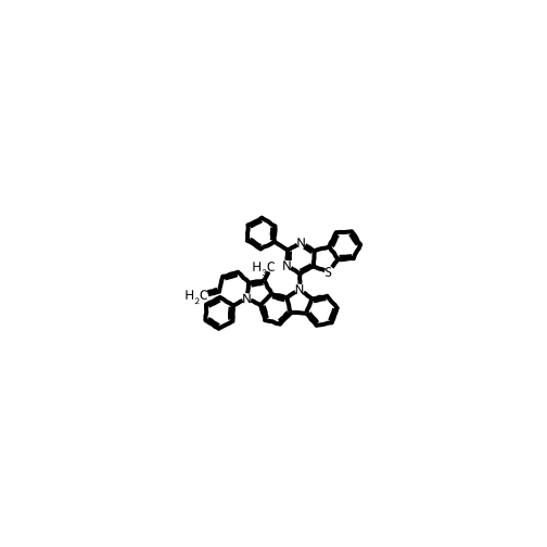 C=C/C=C\c1c(C)c2c(ccc3c4ccccc4n(-c4nc(-c5ccccc5)nc5c4sc4ccccc45)c32)n1-c1ccccc1